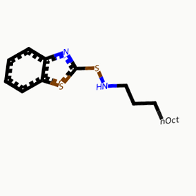 CCCCCCCCCCCNSc1nc2ccccc2s1